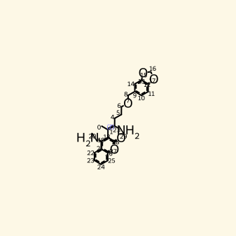 C/C(=C(/N)CCCOCc1ccc2c(c1)OCO2)c1c(N)c2ccccc2oc1=O